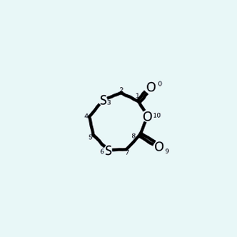 O=C1CSCCSCC(=O)O1